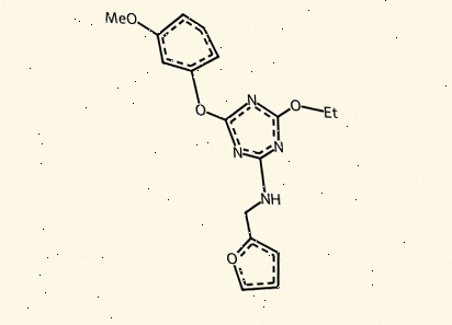 CCOc1nc(NCc2ccco2)nc(Oc2cccc(OC)c2)n1